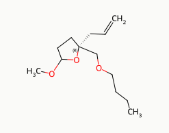 C=CC[C@@]1(COCCCC)CCC(OC)O1